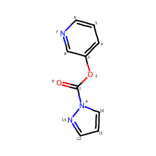 O=C(Oc1cccnc1)n1cccn1